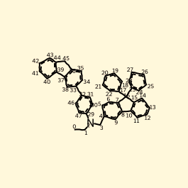 CCN(Cc1ccc2c(c1)-c1ccccc1C2(c1ccccc1)c1ccccc1)c1ccc(-c2ccc3c(c2)-c2ccccc2C3)cc1